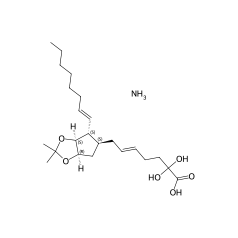 CCCCCCC=C[C@@H]1[C@@H](CC=CCCC(O)(O)C(=O)O)C[C@H]2OC(C)(C)O[C@@H]12.N